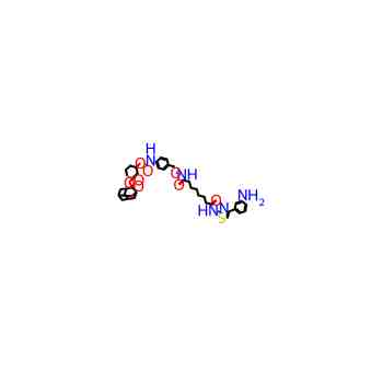 Nc1cccc(-c2csc(NC(=O)CCCCCCC(=O)NOCc3ccc(NC(=O)OC4CCC[C@]5(C4)OOC4(O5)C5CC6CC(C5)CC4C6)cc3)n2)c1